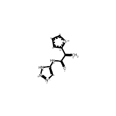 C=C(C(=O)NC1=C[N+]=NN1)c1cccs1